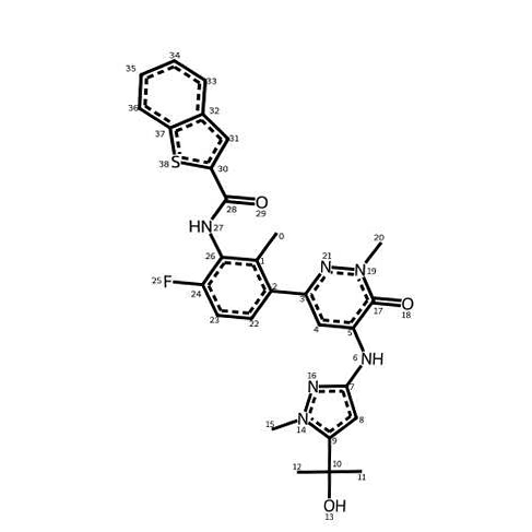 Cc1c(-c2cc(Nc3cc(C(C)(C)O)n(C)n3)c(=O)n(C)n2)ccc(F)c1NC(=O)c1cc2ccccc2s1